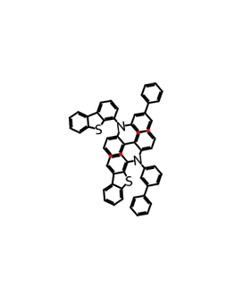 c1ccc(-c2cccc(N(c3ccccc3-c3ccccc3N(c3cccc(-c4ccccc4)c3)c3cccc4c3sc3ccccc34)c3cccc4c3sc3ccccc34)c2)cc1